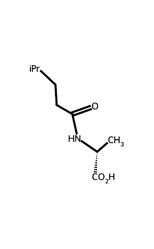 CC(C)CCC(=O)N[C@H](C)C(=O)O